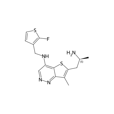 Cc1c(C[C@H](C)N)sc2c(NCc3ccsc3F)cnnc12